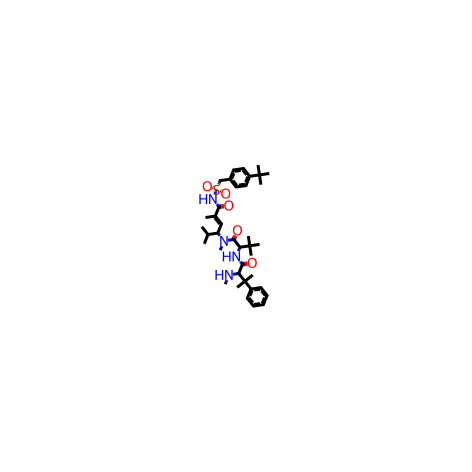 CNC(C(=O)NC(C(=O)N(C)C(/C=C(\C)C(=O)NS(=O)(=O)Cc1ccc(C(C)(C)C)cc1)C(C)C)C(C)(C)C)C(C)(C)c1ccccc1